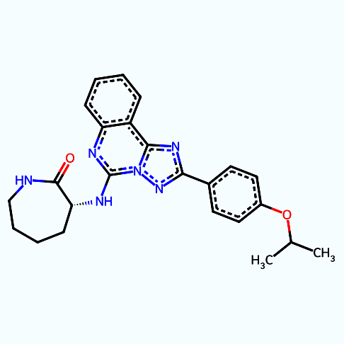 CC(C)Oc1ccc(-c2nc3c4ccccc4nc(N[C@@H]4CCCCNC4=O)n3n2)cc1